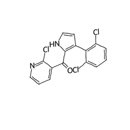 O=C(c1cccnc1Cl)c1[nH]ccc1-c1c(Cl)cccc1Cl